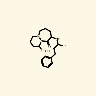 CCC(CCc1ccccc1)NC1CCCN2CCCC(C(=O)O)N2C1=O